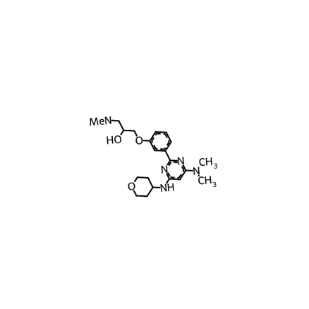 CNCC(O)COc1cccc(-c2nc(NC3CCOCC3)cc(N(C)C)n2)c1